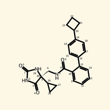 O=C1NC(=O)[C@](CNC(=O)c2ccccc2-c2ccc(C3CCC3)cc2)(C2CC2)N1